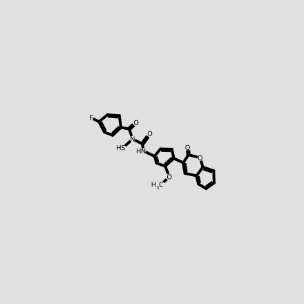 COc1cc(NC(=O)N(S)C(=O)c2ccc(F)cc2)ccc1-c1cc2ccccc2oc1=O